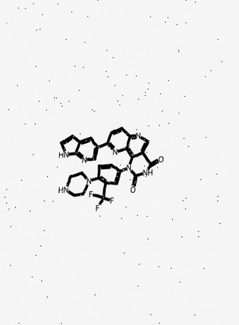 O=c1[nH]c(=O)n(-c2ccc(N3CCNCC3)c(C(F)(F)F)c2)c2c1cnc1ccc(-c3cnc4[nH]ccc4c3)nc12